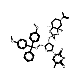 C=C(C)[C@@H]1CC[C@]2(C)S[P@@](=S)(O[C@H]3C[C@H](n4cc(C)c(=O)[nH]c4=O)O[C@@H]3COC(c3ccccc3)(c3ccc(OC)cc3)c3ccc(OC)cc3)O[C@H]2C1